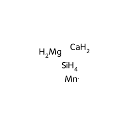 [CaH2].[MgH2].[Mn].[SiH4]